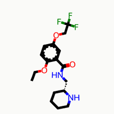 CCOc1ccc(OCC(F)(F)F)cc1C(=O)NC[C@H]1CCCCN1